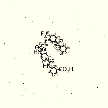 O=C(O)c1cccc(NC(=S)N2CCC(NS(=O)(=O)CC=Cc3cc(S(=O)(=O)c4ccccc4)ccc3C(F)(F)F)CC2)c1